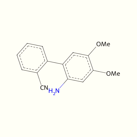 COc1cc(N)c(-c2ccccc2C#N)cc1OC